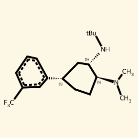 CN(C)[C@H]1CC[C@H](c2cccc(C(F)(F)F)c2)C[C@@H]1NC(C)(C)C